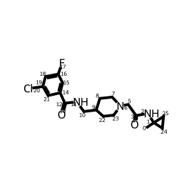 CC1(NC(=O)CN2CCC(CNC(=O)c3cc(F)cc(Cl)c3)CC2)CC1